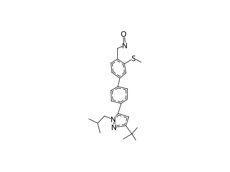 CSc1cc(-c2ccc(-c3cc(C(C)(C)C)nn3CC(C)C)cc2)ccc1CN=O